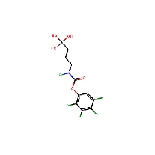 O=C(Oc1cc(F)c(F)c(F)c1F)N(F)CCC[Si](O)(O)O